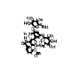 CC(=O)O[C@H]1CCC=c2c(=O)[nH]c(=CC(=O)c3cc(O[C@@H]4O[C@H](CO)[C@@H](O)[C@H](O)[C@H]4O)cc(O[C@@H]4O[C@H](CO)[C@@H](O)[C@H](O)[C@H]4O)c3N)c(=O)n21